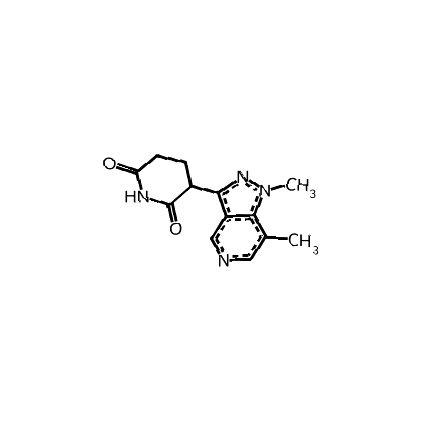 Cc1cncc2c(C3CCC(=O)NC3=O)nn(C)c12